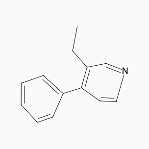 CCc1cnccc1-c1ccccc1